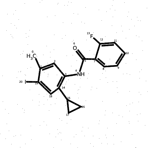 Cc1cc(NC(=O)c2ccccc2F)c(C2CC2)cc1I